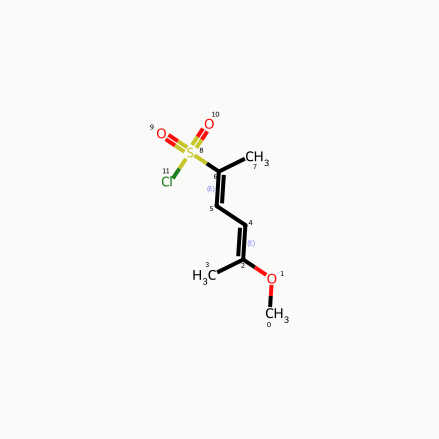 CO/C(C)=C/C=C(\C)S(=O)(=O)Cl